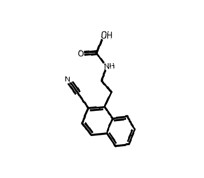 N#Cc1ccc2ccccc2c1CCNC(=O)O